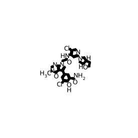 Cn1cnc2c(c(-c3cc(Cl)c(O)c(C(N)=O)c3)cn2CC(=O)Nc2cc(N3C[C@H]4CCO[C@H]4C3)ncc2Cl)c1=O